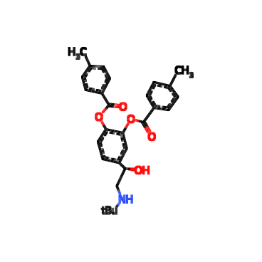 Cc1ccc(C(=O)Oc2ccc([C@@H](O)CNC(C)(C)C)cc2OC(=O)c2ccc(C)cc2)cc1